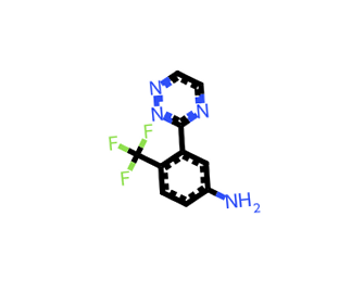 Nc1ccc(C(F)(F)F)c(-c2nccnn2)c1